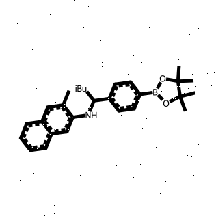 CCC(C)C(Nc1cc2ccccc2cc1C)c1ccc(B2OC(C)(C)C(C)(C)O2)cc1